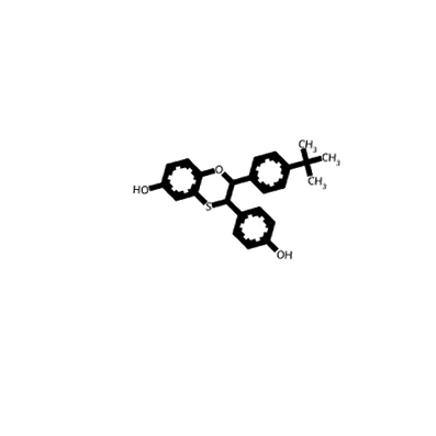 CC(C)(C)c1ccc(C2Oc3ccc(O)cc3SC2c2ccc(O)cc2)cc1